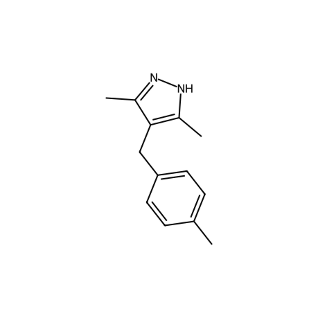 Cc1ccc(Cc2c(C)n[nH]c2C)cc1